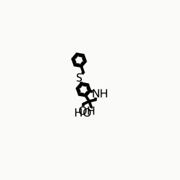 OCC1(CO)CNc2cc(SCc3ccccc3)ccc21